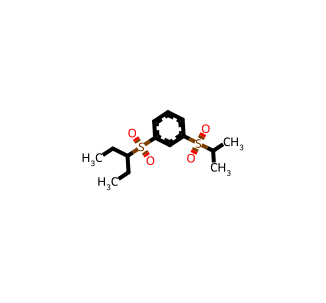 CCC(CC)S(=O)(=O)c1cccc(S(=O)(=O)C(C)C)c1